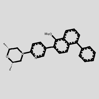 COc1c(-c2ccc(N3C[C@@H](C)O[C@@H](C)C3)nc2)ccc2c(-c3ccccc3)cccc12